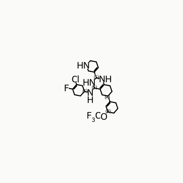 FC1=C(Cl)C[C@@H](N[C@H]2N[C@@H](C3=CCCNC3)NC3=C2C[C@H](C2=C[C@H](OC(F)(F)F)CCC2)CC3)CC1